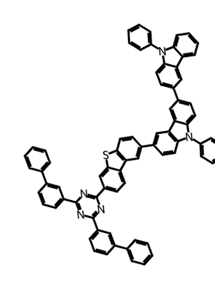 c1ccc(-c2cccc(-c3nc(-c4cccc(-c5ccccc5)c4)nc(-c4ccc5c(c4)sc4ccc(-c6ccc7c(c6)c6cc(-c8ccc9c(c8)c8ccccc8n9-c8ccccc8)ccc6n7-c6ccccc6)cc45)n3)c2)cc1